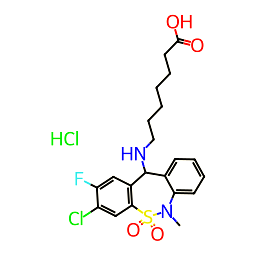 CN1c2ccccc2C(NCCCCCCC(=O)O)c2cc(F)c(Cl)cc2S1(=O)=O.Cl